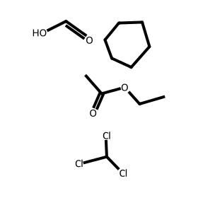 C1CCCCC1.CCOC(C)=O.ClC(Cl)Cl.O=CO